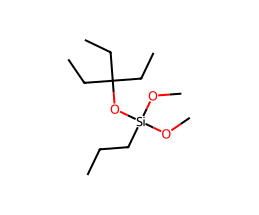 CCC[Si](OC)(OC)OC(CC)(CC)CC